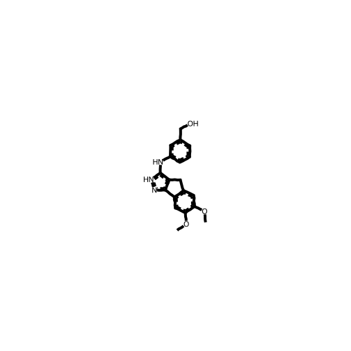 COc1cc2c(cc1OC)-c1n[nH]c(Nc3cccc(CO)c3)c1C2